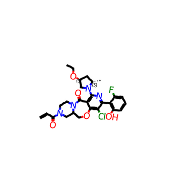 C=CC(=O)N1CCN2C(=O)c3c(N4C[C@@H](OCC)C[C@@H]4C)nc(-c4c(O)cccc4F)c(Cl)c3OCC2C1